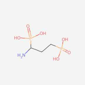 NC(CCP(=O)(O)O)P(=O)(O)O